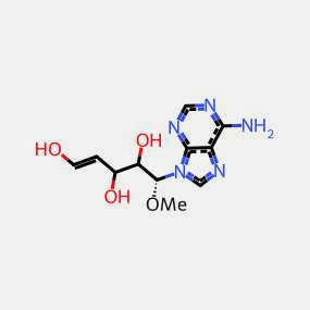 CO[C@H](C(O)C(O)/C=C/O)n1cnc2c(N)ncnc21